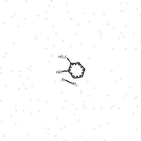 CCN.O=C(O)c1ccccc1O